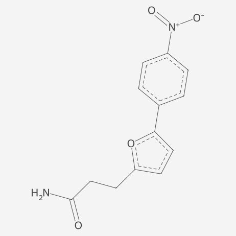 NC(=O)CCc1ccc(-c2ccc([N+](=O)[O-])cc2)o1